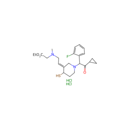 CCOC(=O)CN(C)CC=C1CN(C(C(=O)C2CC2)c2ccccc2F)CCC1S.Cl.Cl